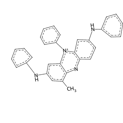 Cc1cc(Nc2ccccc2)cc2c1nc1ccc(Nc3ccccc3)cc1[n+]2-c1ccccc1